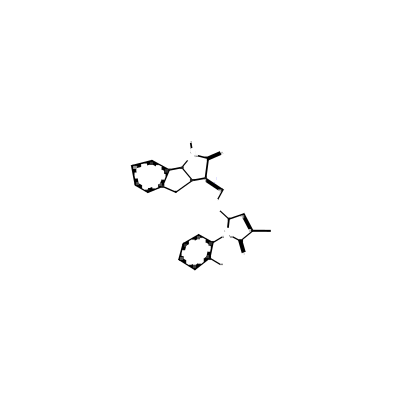 CC1=CC(O/C=C2/C(=O)N(C(=O)O)C3c4ccccc4CC23)N(c2ccccc2F)C1=O